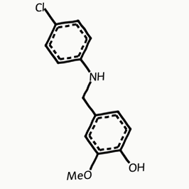 COc1cc(CNc2ccc(Cl)cc2)ccc1O